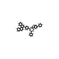 CCC1(c2ccc(-c3ccccc3)cc2)CCC(c2ccccc2)=NC(c2ccc(-c3cc4ccccc4c4c3ccc3cccnc34)cc2)=N1